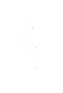 C[C@@H]1CN(CCc2ccccc2)[C@@H]2Cc3ccc(O)cc3[C@H]1C2